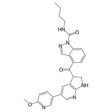 CCCCNC(=O)n1ncc2c(C(=O)C3CNc4ncc(-c5ccc(OC)nc5)cc43)cccc21